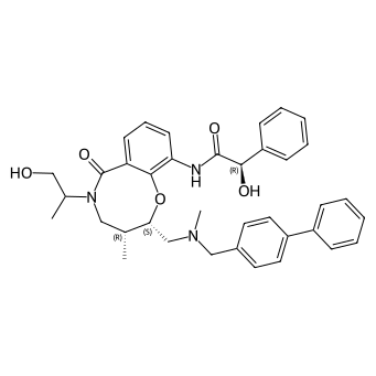 CC(CO)N1C[C@@H](C)[C@@H](CN(C)Cc2ccc(-c3ccccc3)cc2)Oc2c(NC(=O)[C@H](O)c3ccccc3)cccc2C1=O